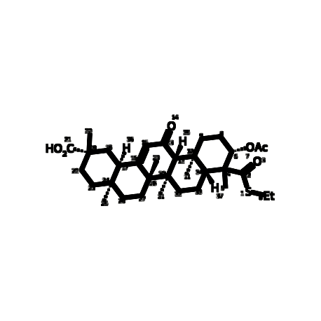 CCSC(=O)C1(C)[C@@H](OC(C)=O)CC[C@]2(C)[C@H]3C(=O)C=C4[C@@H]5C[C@@](C)(C(=O)O)CC[C@]5(C)CC[C@@]4(C)[C@]3(C)CC[C@@H]12